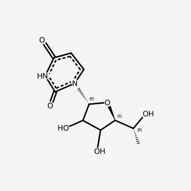 C[C@@H](O)[C@@H]1O[C@@H](n2ccc(=O)[nH]c2=O)C(O)C1O